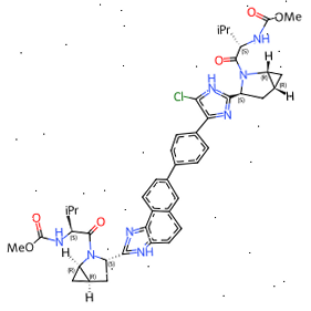 COC(=O)N[C@H](C(=O)N1[C@@H]2C[C@@H]2C[C@H]1c1nc(-c2ccc(-c3ccc4c(ccc5[nH]c([C@@H]6C[C@H]7C[C@H]7N6C(=O)[C@@H](NC(=O)OC)C(C)C)nc54)c3)cc2)c(Cl)[nH]1)C(C)C